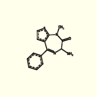 CN1C(=O)C(N)N=C(c2ccccc2)c2ccsc21